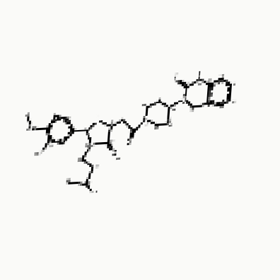 COc1ccc(C2SC(CC(=O)N3CCC(N4Cc5ccccc5NC4=O)CC3)C(=O)N2CCC(C)C)cc1F